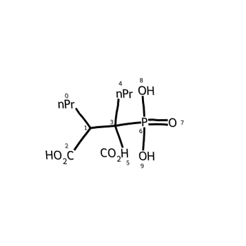 CCCC(C(=O)O)C(CCC)(C(=O)O)P(=O)(O)O